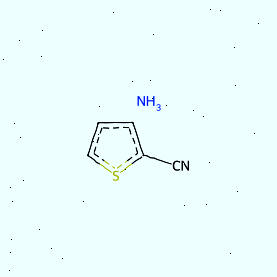 N.N#Cc1cccs1